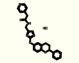 Cl.O=C(Cc1ccncc1)NCc1cnc(Oc2ccc3c(c2)CCC(c2ccccc2)O3)s1